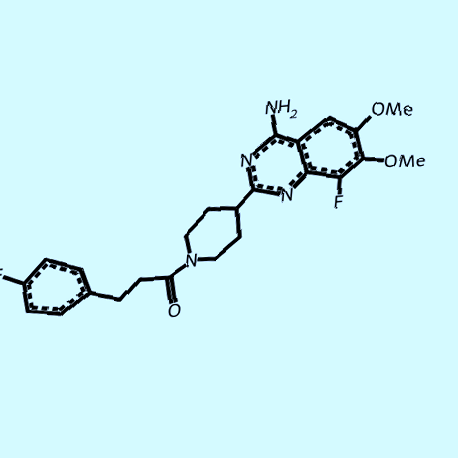 COc1cc2c(N)nc(C3CCN(C(=O)CCc4ccc(F)cc4)CC3)nc2c(F)c1OC